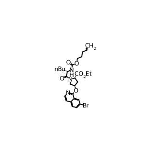 C=CCCCOC(=O)N[C@@H](CCCC)C(=O)N1C[C@H](Oc2nccc3ccc(Br)cc23)C[C@H]1C(=O)OCC